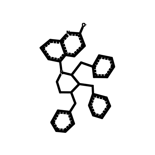 [O]c1ccc2c(N3CCC(Cc4ccccc4)C(Cc4ccccc4)C3Cc3ccccc3)cccc2n1